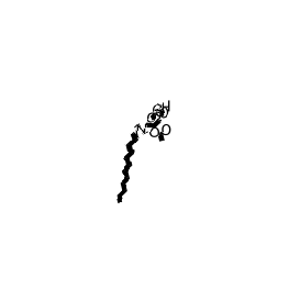 CCCCCCCCCCCC[N+](C)(C)CC(CS(=O)(=O)O)OC(C)=O